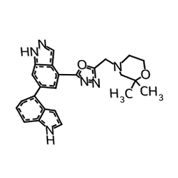 CC1(C)CN(Cc2nnc(-c3cc(-c4cccc5[nH]ccc45)cc4[nH]ncc34)o2)CCO1